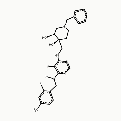 CCN(Cc1ccc(C(F)(F)F)cc1F)c1ncnc(NC[C@@]2(O)CCN(Cc3ccccc3)C[C@@H]2O)c1F